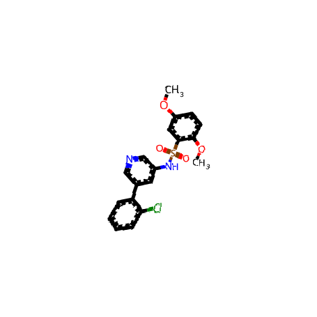 COc1ccc(OC)c(S(=O)(=O)Nc2cncc(-c3ccccc3Cl)c2)c1